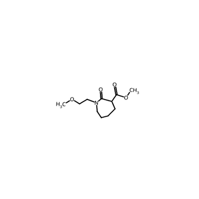 COCCN1CCCCC(C(=O)OC)C1=O